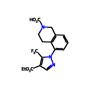 CCOC(=O)c1cnn(-c2cccc3c2CCN(C(=O)O)C3)c1C(F)(F)F